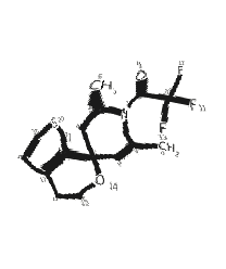 CC1CC2(CC(C)N1C(=O)C(F)(F)F)OCCc1ccsc12